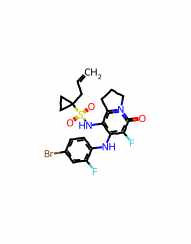 C=CCC1(S(=O)(=O)Nc2c(Nc3ccc(Br)cc3F)c(F)c(=O)n3c2CCC3)CC1